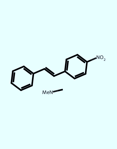 CNC.O=[N+]([O-])c1ccc(C=Cc2ccccc2)cc1